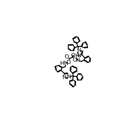 O=C(ONCc1ccccc1-c1cn(C(c2ccccc2)(c2ccccc2)c2ccccc2)cn1)C(=O)ONCc1ccccc1-c1cn(C(c2ccccc2)(c2ccccc2)c2ccccc2)cn1